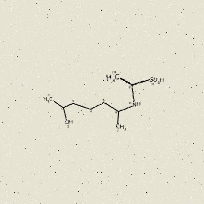 CC(O)CCCC(C)NC(C)S(=O)(=O)O